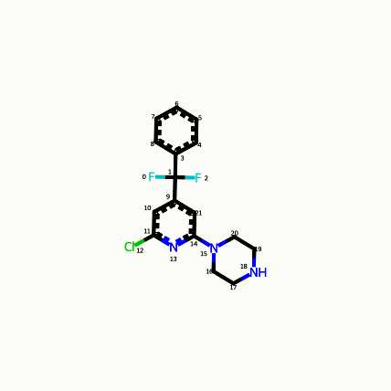 FC(F)(c1ccccc1)c1cc(Cl)nc(N2CCNCC2)c1